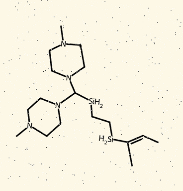 CC=C(C)[SiH2]CC[SiH2]C(N1CCN(C)CC1)N1CCN(C)CC1